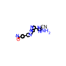 CN(C)C(=O)c1ccc(C2CCN(Cc3cc4c(-c5cnc(N)c(C#N)n5)ccnc4n3C)CC2)cc1